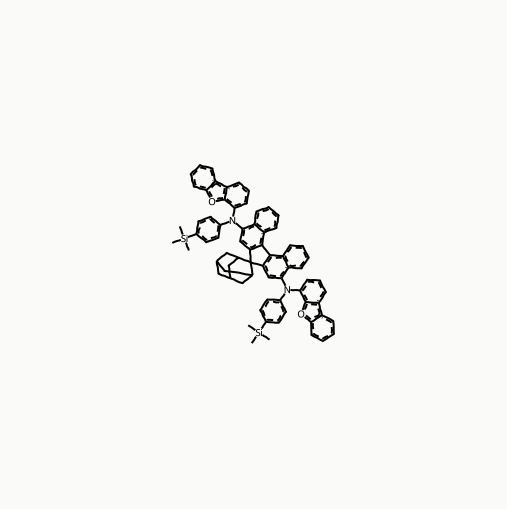 C[Si](C)(C)c1ccc(N(c2cc3c(c4ccccc24)-c2c(cc(N(c4ccc([Si](C)(C)C)cc4)c4cccc5c4oc4ccccc45)c4ccccc24)C32C3CC4CC(C3)CC2C4)c2cccc3c2oc2ccccc23)cc1